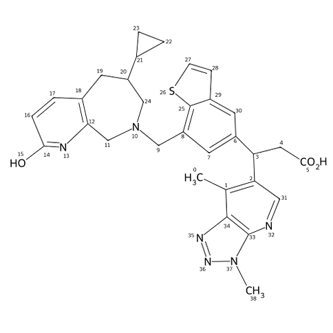 Cc1c(C(CC(=O)O)c2cc(CN3Cc4nc(O)ccc4CC(C4CC4)C3)c3sccc3c2)cnc2c1nnn2C